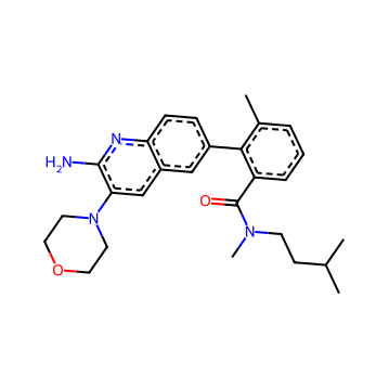 Cc1cccc(C(=O)N(C)CCC(C)C)c1-c1ccc2nc(N)c(N3CCOCC3)cc2c1